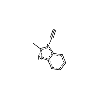 C#Cn1c(C)nc2ccccc21